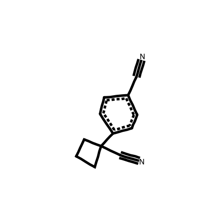 N#Cc1ccc(C2(C#N)CCC2)cc1